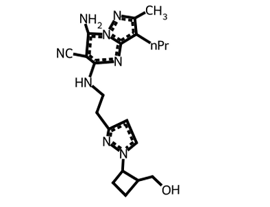 CCCc1c(C)nn2c(N)c(C#N)c(NCCc3ccn(C4CCC4CO)n3)nc12